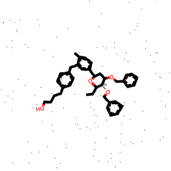 CCC1OC(c2ccc(C)c(Cc3ccc(CCCCO)cc3)c2)CC(OCc2ccccc2)[C@@H]1OCc1ccccc1